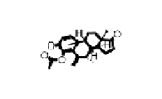 C=C1C2=C(OC(C)=O)C(=O)C=C[C@]2(C)[C@H]2CC[C@]3(C)C(=O)CC[C@H]3[C@@H]2[C@@H]1C